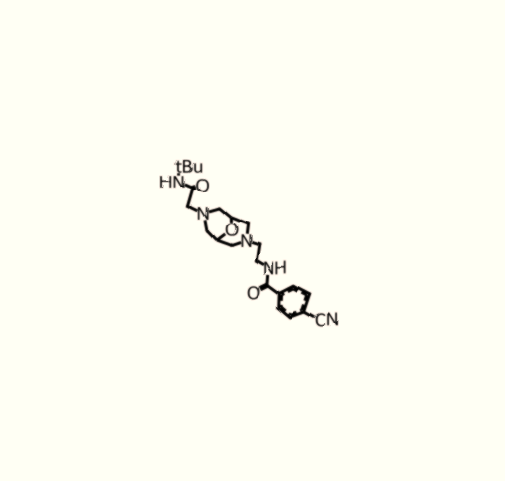 CC(C)(C)NC(=O)CN1CC2CN(CCNC(=O)c3ccc(C#N)cc3)CC(C1)O2